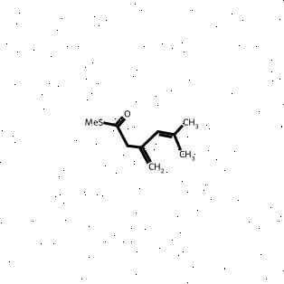 C=C(C=C(C)C)CC(=O)SC